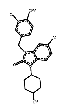 COc1ccc(Cn2c(=O)n(C3CCC(O)CC3)c3ccc(C(C)=O)cc32)cc1Cl